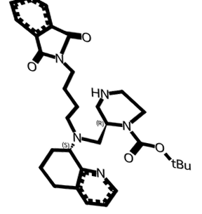 CC(C)(C)OC(=O)N1CCNC[C@@H]1CN(CCCCN1C(=O)c2ccccc2C1=O)[C@H]1CCCc2cccnc21